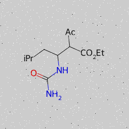 CCOC(=O)C(C(C)=O)C(CC(C)C)NC(N)=O